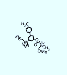 CCOCc1nnnn1-c1cc(OC(=O)N[C@H](C)COC)cc(-c2ccc(C)cc2)c1